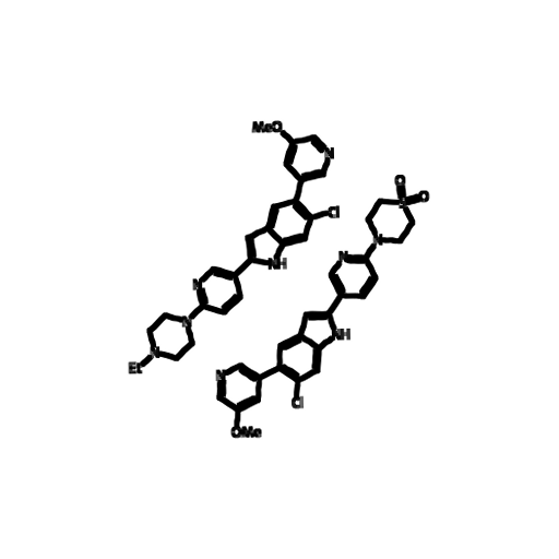 CCN1CCN(c2ccc(-c3cc4cc(-c5cncc(OC)c5)c(Cl)cc4[nH]3)cn2)CC1.COc1cncc(-c2cc3cc(-c4ccc(N5CCS(=O)(=O)CC5)nc4)[nH]c3cc2Cl)c1